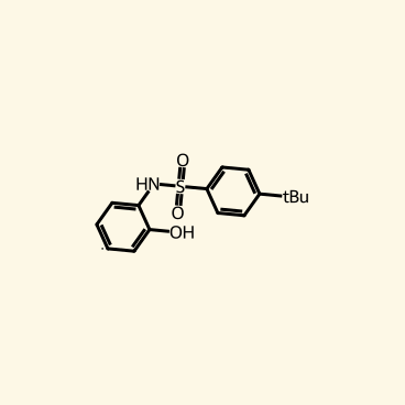 CC(C)(C)c1ccc(S(=O)(=O)Nc2cc[c]cc2O)cc1